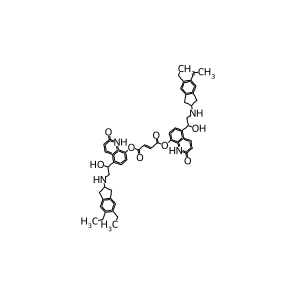 CCc1cc2c(cc1CC)CC(NCC(O)c1ccc(OC(=O)/C=C/C(=O)Oc3ccc(C(O)CNC4Cc5cc(CC)c(CC)cc5C4)c4ccc(=O)[nH]c34)c3[nH]c(=O)ccc13)C2